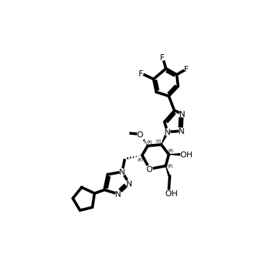 CO[C@@H]1[C@@H](n2cc(-c3cc(F)c(F)c(F)c3)nn2)[C@@H](O)[C@@H](CO)O[C@@H]1Cn1cc(C2CCCC2)nn1